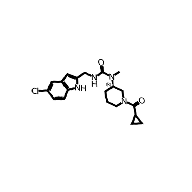 CN(C(=O)NCc1cc2cc(Cl)ccc2[nH]1)[C@@H]1CCCN(C(=O)C2CC2)C1